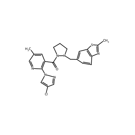 Cc1cnc(-n2cc(Cl)cn2)c(C(=O)N2CCCN2Cc2ccc3nc(C)sc3c2)c1